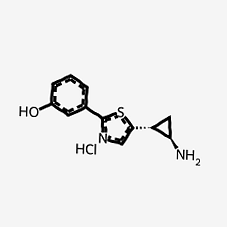 Cl.N[C@@H]1C[C@H]1c1cnc(-c2cccc(O)c2)s1